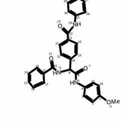 COc1ccc(NC(=O)C(NC(=O)c2ccccc2)c2ccc(C(=O)Nc3[c]cccc3)cc2)cc1